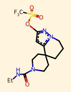 CCNC(=O)N1CCC2(CCCn3nc(OS(=O)(=O)C(F)(F)F)cc32)CC1